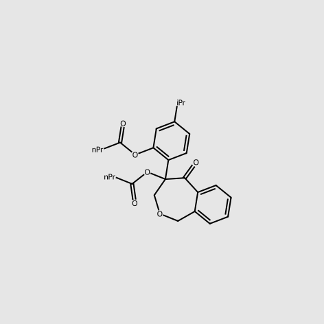 CCCC(=O)Oc1cc(C(C)C)ccc1C1(OC(=O)CCC)COCc2ccccc2C1=O